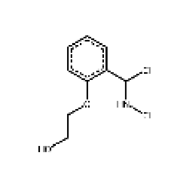 OCCOc1ccccc1C(Cl)NCl